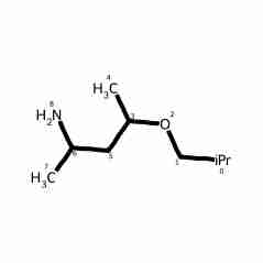 CC(C)COC(C)CC(C)N